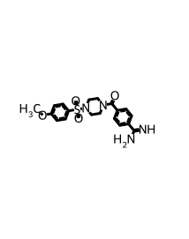 COc1ccc(S(=O)(=O)N2CCN(C(=O)c3ccc(C(=N)N)cc3)CC2)cc1